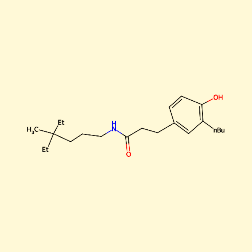 CCCCc1cc(CCC(=O)NCCCC(C)(CC)CC)ccc1O